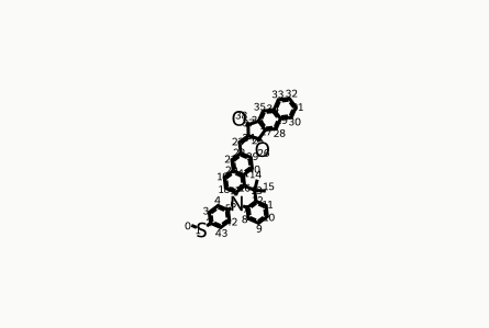 CSc1ccc(N2c3ccccc3C(C)(C)c3c2ccc2cc(C=C4C(=O)c5cc6ccccc6cc5C4=O)ccc32)cc1